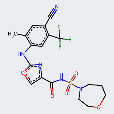 Cc1cc(C#N)c(C(F)(F)F)cc1Nc1nc(C(=O)NS(=O)(=O)N2CCCOCC2)co1